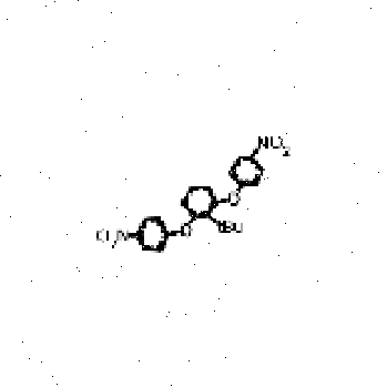 CC(C)(C)c1c(Oc2ccc([N+](=O)[O-])cc2)cccc1Oc1ccc([N+](=O)[O-])cc1